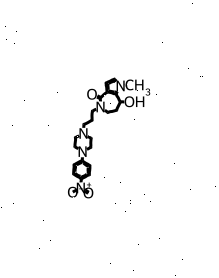 Cn1ccc2c1C(O)CCN(CCCN1CCN(c3ccc([N+](=O)[O-])cc3)CC1)C2=O